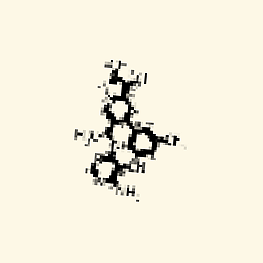 Cc1nn2cc([C@H](C)Nc3ncnc(N)c3C#N)c(-c3cccc(C(F)(F)F)c3)nc2c1Cl